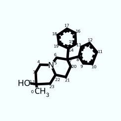 CC1(O)CCN2CC(c3ccccc3)(c3ccccc3)CCC2C1